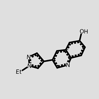 [CH2]Cn1cc(-c2cnc3ccc(O)cc3c2)cn1